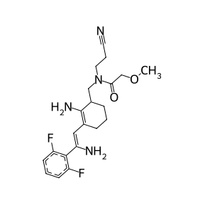 COCC(=O)N(CCC#N)CC1CCCC(/C=C(\N)c2c(F)cccc2F)=C1N